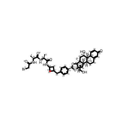 C[C@H](NC(=O)CBr)C(=O)N[C@@H](C)C(=O)NC12CC(Cc3ccc([C@@H]4O[C@@H]5C[C@H]6[C@@H]7CCC8=CC(=O)C=C[C@]8(C)[C@H]7[C@@H](O)C[C@]6(C)[C@]5(C(=O)CO)O4)cc3)(C1)C2